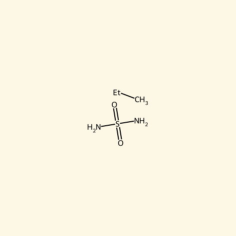 CCC.NS(N)(=O)=O